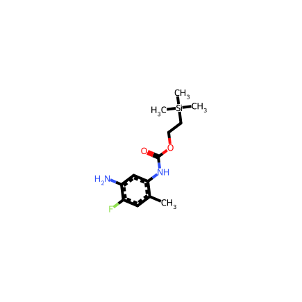 Cc1cc(F)c(N)cc1NC(=O)OCC[Si](C)(C)C